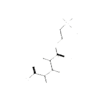 CC(C(O)C(N)=O)C(O)C(=O)OCC[N+](C)(C)C